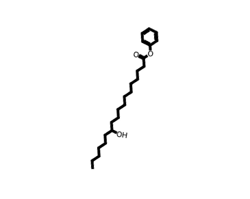 CCCCCCC(O)CCCCCCCCCCC(=O)Oc1ccccc1